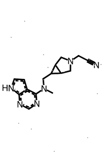 CN(CC1C2CN(CC#N)CC21)c1ncnc2[nH]ccc12